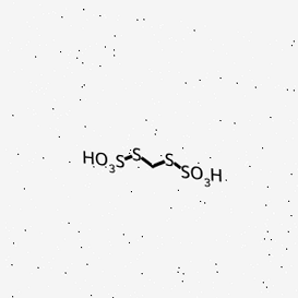 O=S(=O)(O)SCSS(=O)(=O)O